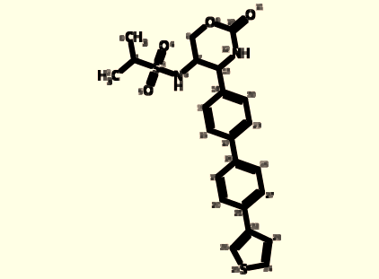 CC(C)S(=O)(=O)NC1COC(=O)NC1c1ccc(-c2ccc(-c3ccsc3)cc2)cc1